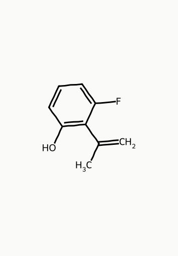 C=C(C)c1c(O)cccc1F